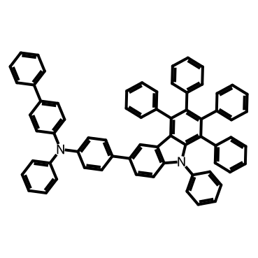 c1ccc(-c2ccc(N(c3ccccc3)c3ccc(-c4ccc5c(c4)c4c(-c6ccccc6)c(-c6ccccc6)c(-c6ccccc6)c(-c6ccccc6)c4n5-c4ccccc4)cc3)cc2)cc1